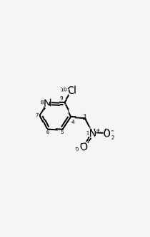 O=[N+]([O-])Cc1cccnc1Cl